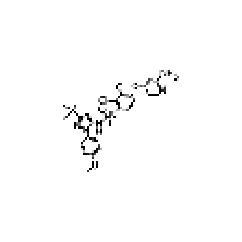 COc1ccc(-n2nc(C(C)(C)C)cc2NC(=O)Nc2ccc(Oc3ccnc(N)c3)c(Cl)c2Cl)cc1